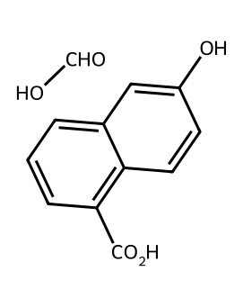 O=C(O)c1cccc2cc(O)ccc12.O=CO